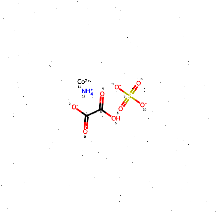 O=C([O-])C(=O)O.O=S(=O)([O-])[O-].[Co+2].[NH4+]